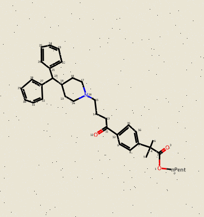 CCCCCOC(=O)C(C)(C)c1ccc(C(=O)CCCN2CCC(C(c3ccccc3)c3ccccc3)CC2)cc1